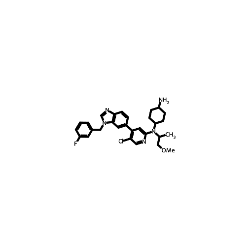 COCC(C)N(c1cc(-c2ccc3ncn(Cc4cccc(F)c4)c3c2)c(Cl)cn1)C1CCC(N)CC1